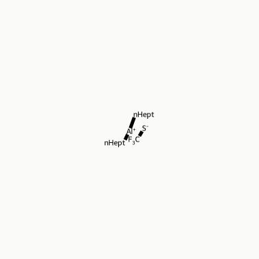 CCCCCC[CH2][Al+][CH2]CCCCCC.FC(F)(F)[S-]